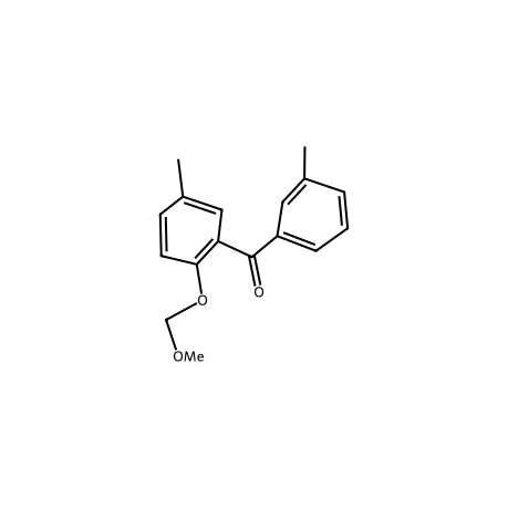 COCOc1ccc(C)cc1C(=O)c1cccc(C)c1